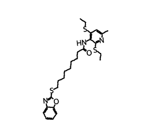 CCSc1cc(C)nc(SCC)c1NC(=O)CCCCCCCCSc1nc2ccccc2o1